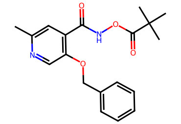 Cc1cc(C(=O)NOC(=O)C(C)(C)C)c(OCc2ccccc2)cn1